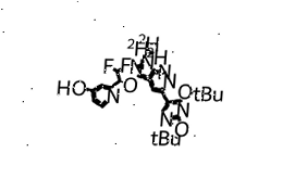 [2H]C([2H])([2H])n1nc(O[C@H](c2cc(O)ccn2)C(F)F)c2cc(-c3cnc(OC(C)(C)C)nc3OC(C)(C)C)nnc21